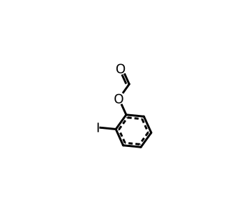 O=COc1ccccc1I